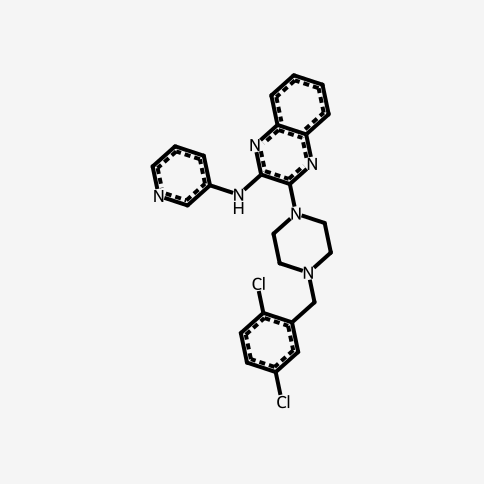 Clc1ccc(Cl)c(CN2CCN(c3nc4ccccc4nc3Nc3cccnc3)CC2)c1